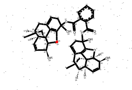 CN1CC[C@]23C4=C5O[C@H]2[C@@H](O)C=C[C@H]3[C@H]1CC4=CCC5(O)OC(=O)c1ccccc1C(=O)OC1(O)CC=C2C[C@@H]3[C@@H]4C=C[C@H](O)[C@@H]5OC1=C2[C@]45CCN3C